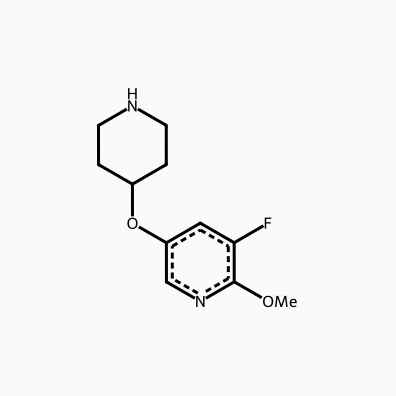 COc1ncc(OC2CCNCC2)cc1F